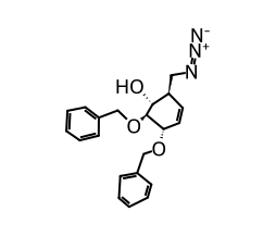 [N-]=[N+]=NC[C@H]1C=C[C@H](OCc2ccccc2)[C@@H](OCc2ccccc2)[C@@H]1O